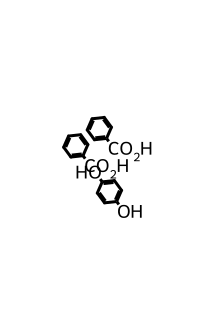 O=C(O)c1ccccc1.O=C(O)c1ccccc1.Oc1ccc(O)cc1